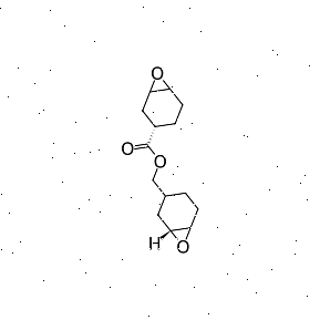 O=C(OCC1CCC2O[C@@H]2C1)[C@H]1CCC2OC2C1